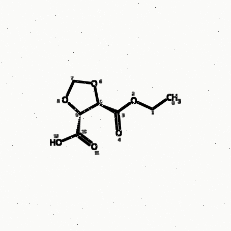 CCOC(=O)[C@@H]1OCO[C@H]1C(=O)O